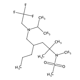 CCCC(CN(CC(F)(F)F)C(C)C)CC(C)(C)N(C)S(C)(=O)=O